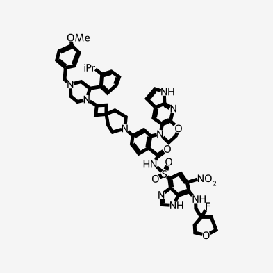 COc1ccc(CN2CCN(C3CC4(CCN(c5ccc(C(=O)NS(=O)(=O)c6cc([N+](=O)[O-])c(NCC7(F)CCOCC7)c7[nH]cnc67)c(N6CCOc7nc8[nH]ccc8cc76)c5)CC4)C3)C(c3ccccc3C(C)C)C2)cc1